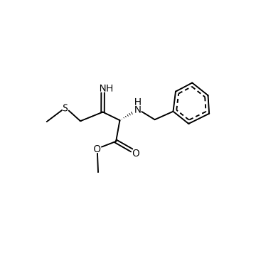 COC(=O)[C@@H](NCc1ccccc1)C(=N)CSC